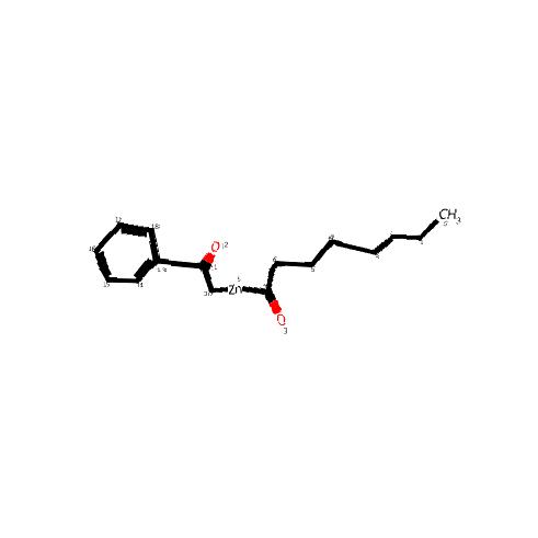 CCCCCCC[C](=O)[Zn][CH2]C(=O)c1ccccc1